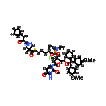 COc1ccc(C(OCC2OC(n3ccc(=O)[nH]c3=O)C(F)C2OP(OCCCCSC(=O)C(C)(C)CNC(=O)Cc2ccccc2)N(C(C)C)C(C)C)(c2ccccc2)c2ccc(OC)cc2)cc1